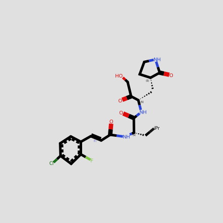 CC(C)C[C@H](NC(=O)/C=C/c1ccc(Cl)cc1F)C(=O)N[C@@H](C[C@@H]1CCNC1=O)C(=O)CO